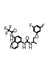 CC(COc1cc(F)cc(F)c1)NC(=O)Nc1ccc(NC(=O)C(F)(F)F)c2cnccc12